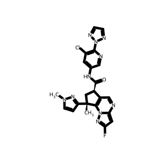 Cn1ccc([C@]2(C)C[C@@H](C(=O)Nc3cnc(-n4nccn4)c(Cl)c3)c3cnc4cc(F)nn4c32)n1